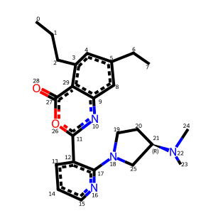 CCCc1cc(CC)cc2nc(-c3cccnc3N3CC[C@@H](N(C)C)C3)oc(=O)c12